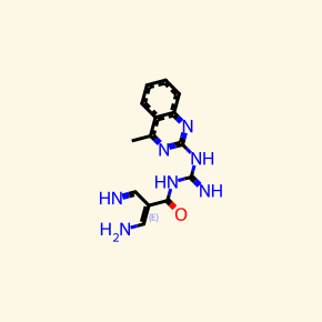 Cc1nc(NC(=N)NC(=O)/C(C=N)=C/N)nc2ccccc12